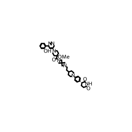 COC1(C(=O)N2CC3(CN(CCC4CCN(c5ccc([C@H]6CCC(=O)NC6=O)cc5)CC4)C3)C2)CCN(c2cnnc(-c3ccccc3O)c2)CC1